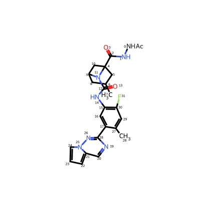 CC(=O)NNC(=O)C12CC(C)CC(C1)N2C(=O)Nc1cc(-c2ncc3cccn3n2)c(C)cc1F